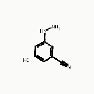 Cl.N#Cc1cccc(NN)c1